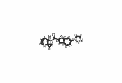 O=C(N[C@H]1C2CCN(CC2)C12CC2)c1cc2ccc(-n3ccnn3)cc2s1